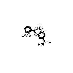 COc1ccccc1C(C)Oc1cc(B(O)O)cnc1N